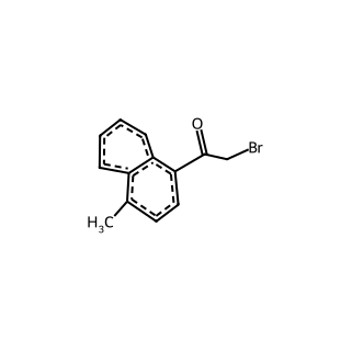 Cc1ccc(C(=O)CBr)c2ccccc12